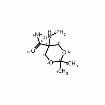 CC1(C)OCC(NP)(C(N)=O)CO1